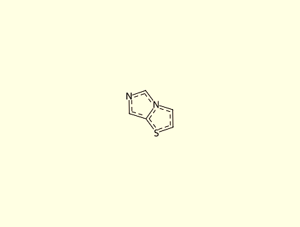 c1cn2cncc2s1